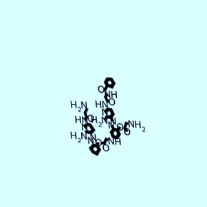 NCCC(=O)Nc1ccc(/N=N/c2ccccc2OC(=O)CNc2ccc(OC(=O)CN)c(/N=N/c3ccc(NC(=O)CNC(=O)c4ccccc4)nc3N)c2)c(N)n1